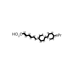 CCC[C@H]1CC[C@H]([C@H]2CC[C@H](CC/C=C/C=C/C(=O)O)CC2)CC1